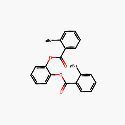 CCCCc1ccccc1C(=O)Oc1ccccc1OC(=O)c1ccccc1CCCC